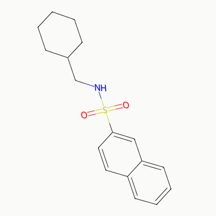 O=S(=O)(NCC1CCCCC1)c1ccc2ccccc2c1